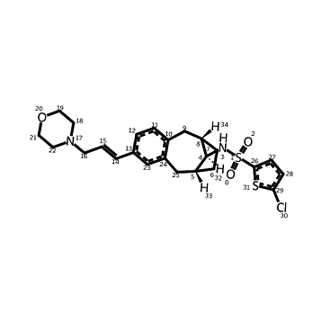 O=S(=O)(N[C@H]1[C@@H]2CC[C@H]1Cc1ccc(/C=C/CN3CCOCC3)cc1C2)c1ccc(Cl)s1